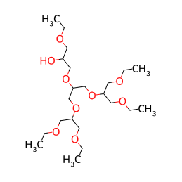 CCOCC(O)COC(COC(COCC)COCC)COC(COCC)COCC